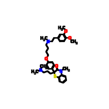 COc1ccc(CCN(C)CCCCOc2ccc(C3(CCCN(C)C)Sc4ccccc4N(C)C3=O)cc2)cc1OC